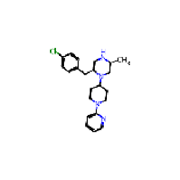 C[C@H]1CN(C2CCN(c3ccccn3)CC2)[C@@H](Cc2ccc(Cl)cc2)CN1